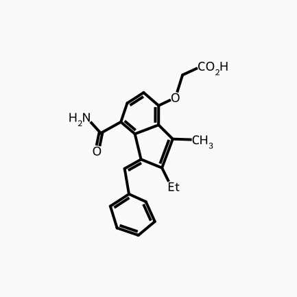 CCC1=C(C)c2c(OC[13C](=O)O)ccc(C(N)=O)c2C1=Cc1ccccc1